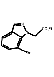 CCOC(=O)Cn1ncc2cccc(Br)c21